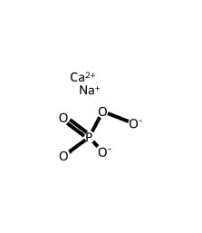 O=P([O-])([O-])O[O-].[Ca+2].[Na+]